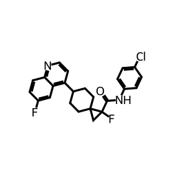 O=C(Nc1ccc(Cl)cc1)C1(F)CC12CCC(c1ccnc3ccc(F)cc13)CC2